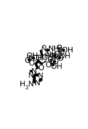 CN(CC(=O)O[C@H]1[C@@H](OP(=O)(O)O)[C@H](n2cnc3c(N)ncnc32)O[C@@H]1COP(=O)(O)OP(=O)(O)OP(=O)(O)O)C(=N)N